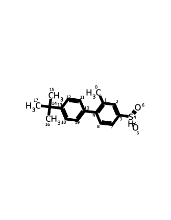 Cc1cc([SH](=O)=O)ccc1-c1ccc(C(C)(C)C)cc1